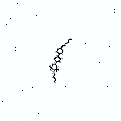 C=CCC/C=C/C1CCC(c2ccc(C3CC(C)(C)N(OCCCC)C(C)(C)C3)cc2)CC1